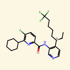 CC[C@H](CCCCC(F)(F)F)c1ccncc1NC(=O)c1ccc(F)c(C2CCCCC2)n1